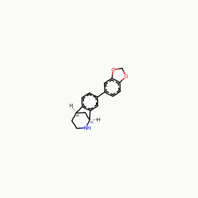 c1cc2c(cc1-c1ccc3c(c1)[C@@H]1C[C@H]3CCN1)OCO2